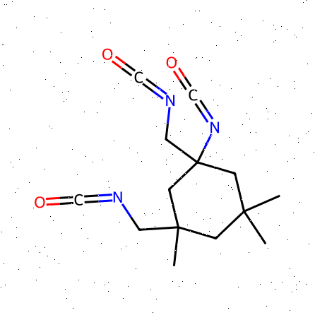 CC1(C)CC(C)(CN=C=O)CC(CN=C=O)(N=C=O)C1